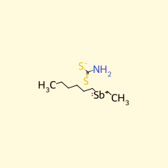 CCCCC[CH2][Sb+][CH2]C.NC(=S)[S-]